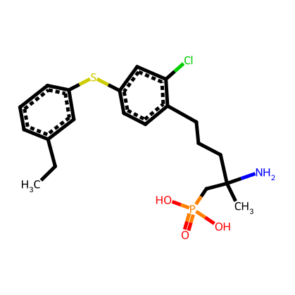 CCc1cccc(Sc2ccc(CCCC(C)(N)CP(=O)(O)O)c(Cl)c2)c1